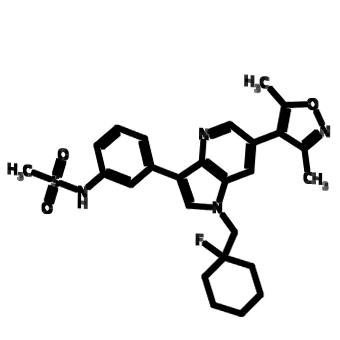 Cc1noc(C)c1-c1cnc2c(-c3cccc(NS(C)(=O)=O)c3)cn(CC3(F)CCCCC3)c2c1